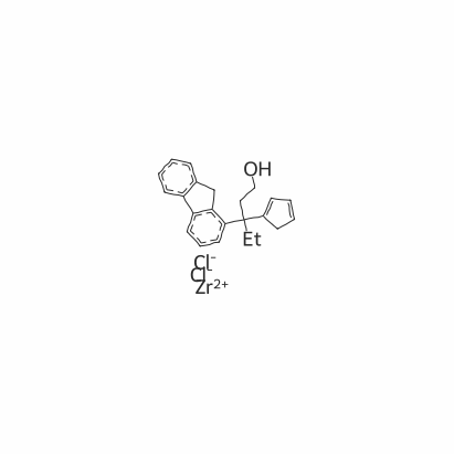 CCC(CCO)(C1=CC=CC1)c1cccc2c1Cc1ccccc1-2.[Cl-].[Cl-].[Zr+2]